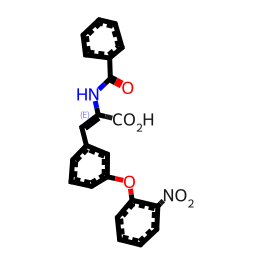 O=C(O)/C(=C\c1cccc(Oc2ccccc2[N+](=O)[O-])c1)NC(=O)c1ccccc1